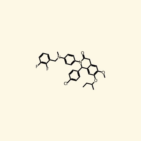 CCC(C)Oc1cc2c(cc1OC)CC(=O)N(c1ccc(N(C)Cc3cccc(F)c3F)cc1)C2c1ccc(Cl)cc1